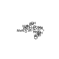 CCC(C)[C@@H]([C@H](CO)CC(=O)N1CCC[C@H]1[C@H](OC)[C@H](C)C(=O)NC(Cc1ccccc1)P(=O)(O)O)N(C)C(=O)[C@@H](NC(=O)[C@@H](NC)C(C)C)C(C)C